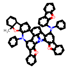 CC12C=CC=CC1c1cccc(N(c3ccccc3)c3cc4c5ccccc5oc4c4c3c3cccc5c6c(N(c7ccccc7)c7cccc8c7oc7ccccc78)cc7c8ccccc8oc7c6n4c35)c1O2